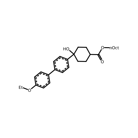 CCCCCCCCOC(=O)C1CCC(O)(c2ccc(-c3ccc(OCC)cc3)cc2)CC1